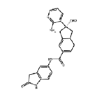 Nc1ncccc1[C@]1(C=O)CC2=CC(C(=O)Nc3ccc4c(c3)CC(=O)N4)=CCC2C1